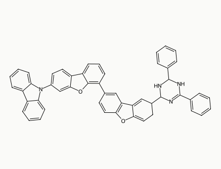 C1=c2oc3ccc(-c4cccc5c4oc4cc(-n6c7ccccc7c7ccccc76)ccc45)cc3c2=CC(C2N=C(c3ccccc3)NC(c3ccccc3)N2)C1